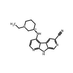 CCN1CCC[C@@H](Nc2ccnc3[nH]c4cnc(C#N)cc4c23)C1